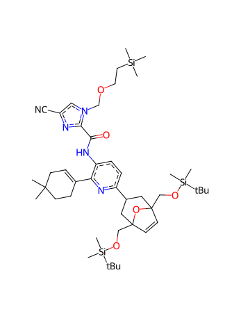 CC1(C)CC=C(c2nc(C3CC4(CO[Si](C)(C)C(C)(C)C)C=CC(CO[Si](C)(C)C(C)(C)C)(C3)O4)ccc2NC(=O)c2nc(C#N)cn2COCC[Si](C)(C)C)CC1